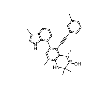 Cc1cccc(C#Cc2c(-c3cccc4c(C)c[nH]c34)cc(C)c3c2[C@H](C)[C@@H](O)C(C)(C)N3)c1